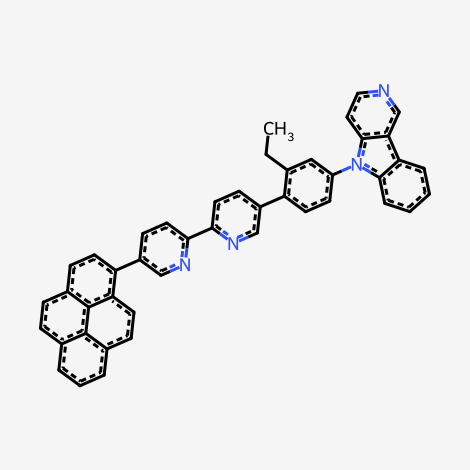 CCc1cc(-n2c3ccccc3c3cnccc32)ccc1-c1ccc(-c2ccc(-c3ccc4ccc5cccc6ccc3c4c56)cn2)nc1